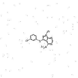 CC(C)n1cc(Sc2cccc(Cl)c2)c2c(N)ncnc21